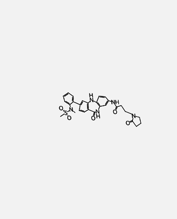 CN(c1ccccc1-c1ccc2c(c1)Nc1ccc(NC(=O)CCCN3CCCC3=O)cc1NC2=O)S(C)(=O)=O